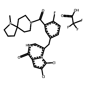 CN1CCCC12CCN(C(=O)c1cc(Cc3c[nH]c(=O)c4cc(Cl)c(Cl)n34)ccc1F)CC2.O=C(O)C(F)(F)F